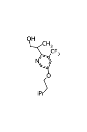 CC(C)CCOc1cnc(C(C)CO)c(C(F)(F)F)c1